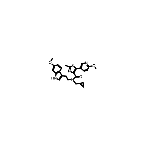 COc1ccc2c(CCN(CC3CC3)C(=O)c3nc(C)sc3-c3ccc(OC)nc3)c[nH]c2c1